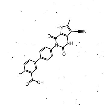 Cc1[nH]c2c(=O)n(-c3ccc(-c4ccc(F)c(C(=O)O)c4)cc3)c(=O)[nH]c2c1C#N